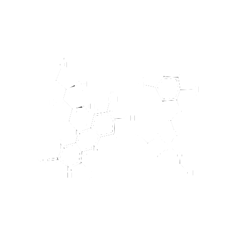 CCOP(=S)(OCC)SCSc1cc(Cl)ccc1Cl.Cc1cc2nc3c(=O)[nH]c(=O)nc-3n(C[C@H](O)[C@H](O)[C@H](O)CO)c2cc1C